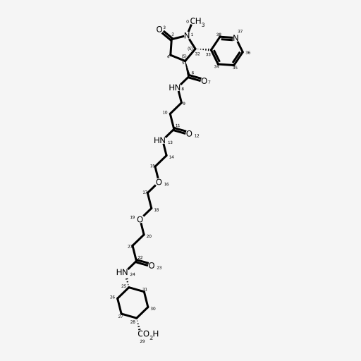 CN1C(=O)C[C@H](C(=O)NCCC(=O)NCCOCCOCCC(=O)N[C@H]2CC[C@@H](C(=O)O)CC2)[C@H]1c1cccnc1